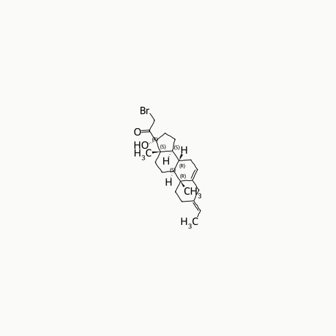 CC=C1CC[C@@]2(C)C(=CC[C@@H]3[C@@H]2CC[C@@]2(C)[C@H]3CC[C@]2(O)C(=O)CBr)C1